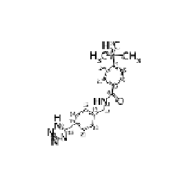 CC(C)(C)c1ccc(C(=O)NCc2ccc(-c3nnn[nH]3)cc2)cc1